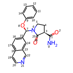 NC(=O)[C@@H]1CCN([C@H](Oc2ccccc2)c2ccc3ccncc3c2)C1=O